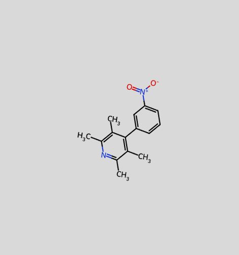 Cc1nc(C)c(C)c(-c2cccc([N+](=O)[O-])c2)c1C